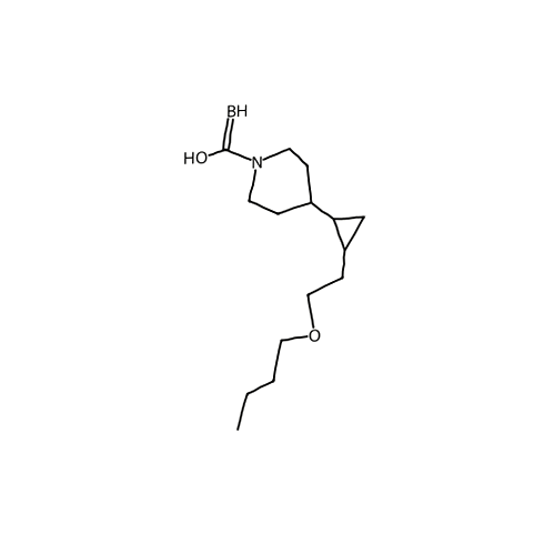 B=C(O)N1CCC(C2CC2CCOCCCC)CC1